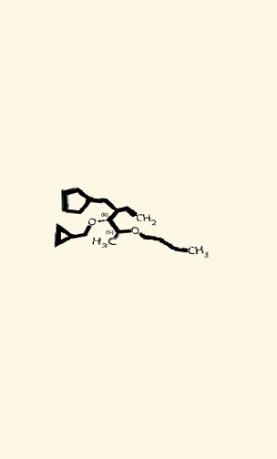 C=CC(CC1CCCC1)[C@@H](OCC1CC1)[C@H](C)OCCCC